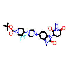 Cn1c(=O)n(C2CCC(=O)NC2=O)c2ccc(N3CCN([C@@H]4CCN(C(=O)OC(C)(C)C)CC4(F)F)CC3)cc21